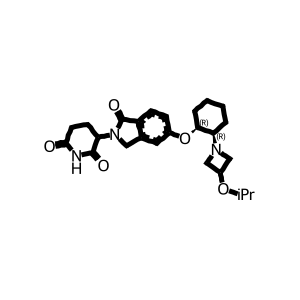 CC(C)OC1CN([C@@H]2CCCC[C@H]2Oc2ccc3c(c2)CN(C2CCC(=O)NC2=O)C3=O)C1